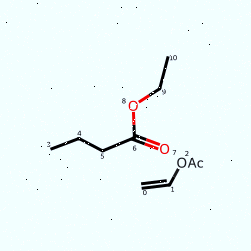 C=COC(C)=O.CCCC(=O)OCC